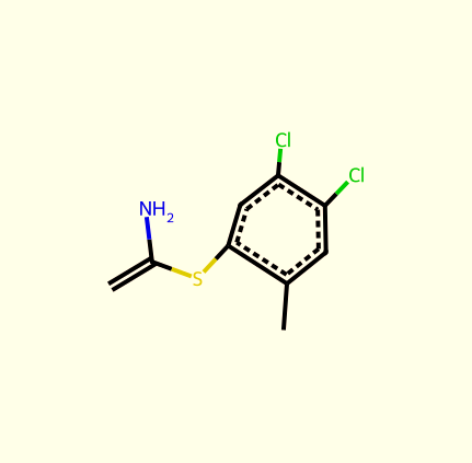 C=C(N)Sc1cc(Cl)c(Cl)cc1C